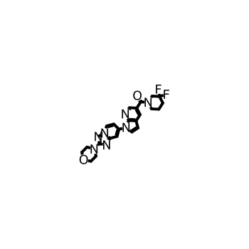 O=C(c1cnc2c(ccn2-c2ccn3nc(N4CCOCC4)nc3c2)c1)N1CCCC(F)(F)C1